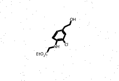 CCOC(=O)CNc1ccc(CCO)cc1Cl